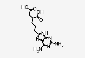 Nc1nc(N)c2nc(CCCC(CC(=O)O)C(=O)O)[nH]c2n1